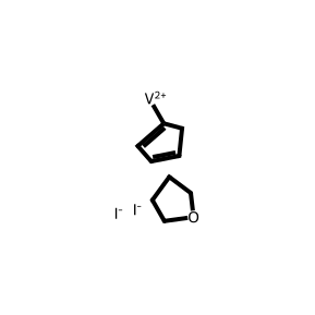 C1CCOC1.[I-].[I-].[V+2][C]1=CC=CC1